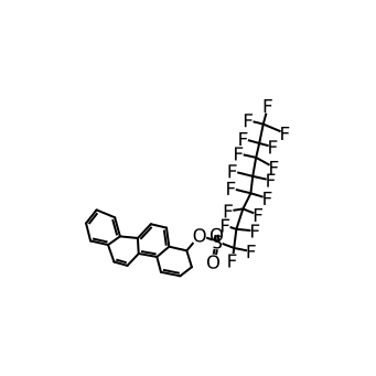 O=S(=O)(OC1CC=Cc2c1ccc1c2ccc2ccccc21)C(F)(F)C(F)(F)C(F)(F)C(F)(F)C(F)(F)C(F)(F)C(F)(F)C(F)(F)F